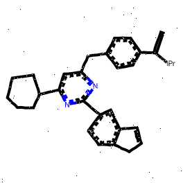 C=C(c1ccc(Cc2cc(C3CCCCC3)nc(-c3ccc4c(c3)C=CC4)n2)cc1)C(C)C